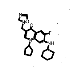 O=c1c(CN2CN=CO2)cn(C2CCCC2)c2cc(NC3CCCCC3)c(F)cc12